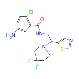 Nc1ccc(Cl)c(C(=O)NCC(c2cncs2)N2CCC(F)(F)CC2)c1